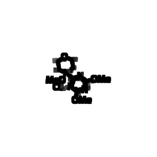 COc1nc(OC)nc([N+]2(OC)CCOCC2)n1.[Cl-]